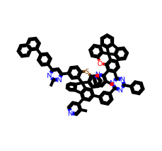 Cc1nc(-c2ccc(-c3cccc4ccccc34)cc2)cc(-c2ccc3c(c2)C2(c4ccccc4S3)c3ccccc3-c3c(-c4ccncc4C)cc(-c4cccc(-c5nc(-c6ccccc6)nc(-c6ccc7c(c6-c6ncccc6C)Oc6ccccc6C76c7ccccc7-c7ccccc76)n5)c4)cc32)n1